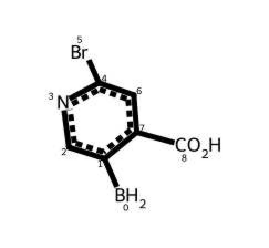 Bc1cnc(Br)cc1C(=O)O